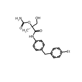 CCc1ccc(Cc2ccc(NC(=O)[C@](C)(CO)OC(N)=O)cc2)cc1